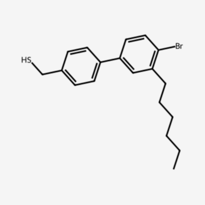 CCCCCCc1cc(-c2ccc(CS)cc2)ccc1Br